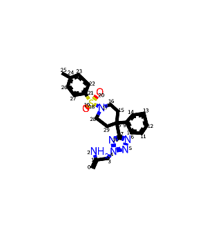 C=C(N)Cn1nnc(C2(c3ccccc3)CCN(S(=O)(=O)c3ccc(C)cc3)CC2)n1